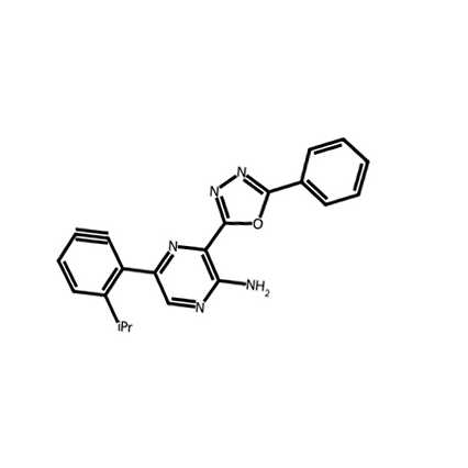 CC(C)c1ccc#cc1-c1cnc(N)c(-c2nnc(-c3ccccc3)o2)n1